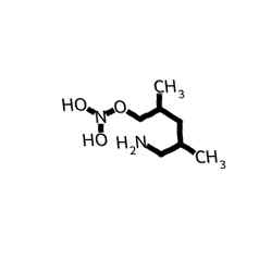 CC(CN)CC(C)CON(O)O